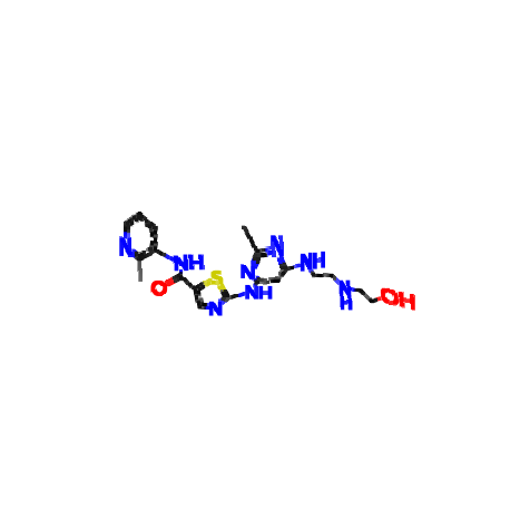 Cc1nc(NCCNCCO)cc(Nc2ncc(C(=O)Nc3cccnc3C)s2)n1